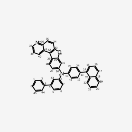 c1ccc(-c2cccc(N(c3ccc(-c4cccc5ccccc45)cc3)c3ccc4c(c3)oc3ccc5ncccc5c34)c2)cc1